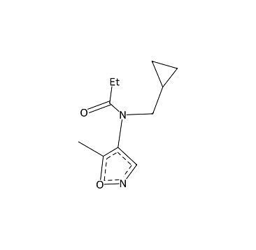 CCC(=O)N(CC1CC1)c1cnoc1C